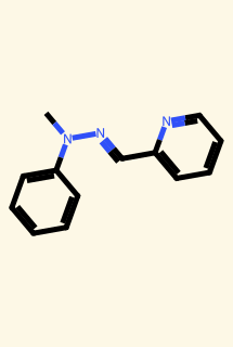 CN(/N=C/c1ccccn1)c1ccccc1